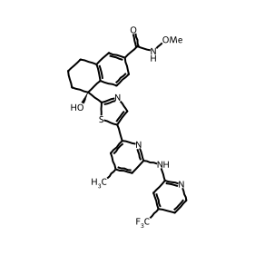 CONC(=O)c1ccc2c(c1)CCC[C@@]2(O)c1ncc(-c2cc(C)cc(Nc3cc(C(F)(F)F)ccn3)n2)s1